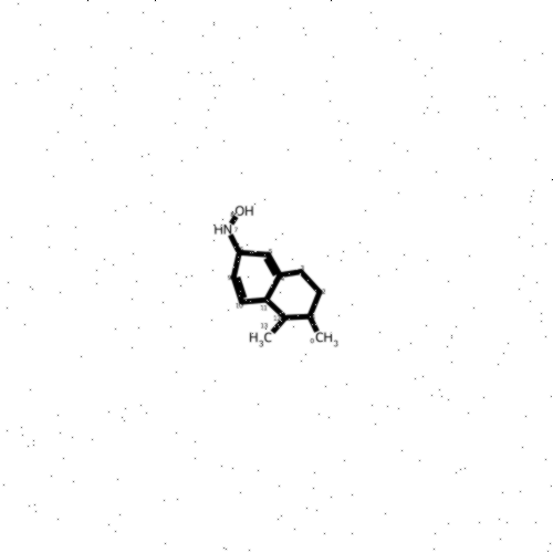 CC1CCC2=CC(NO)C=CC2C1C